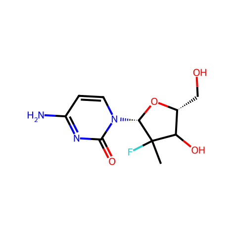 CC1(F)C(O)[C@@H](CO)O[C@H]1n1ccc(N)nc1=O